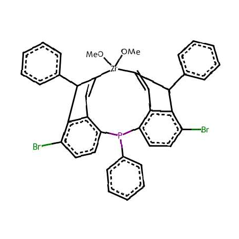 C[O][Zr]1([O]C)[C]2=Cc3c(ccc(Br)c3C2c2ccccc2)P(c2ccccc2)c2ccc(Br)c3c2C=[C]1C3c1ccccc1